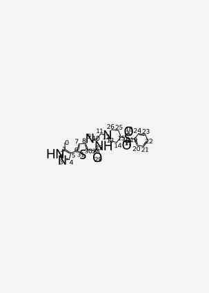 Cc1[nH]ncc1-c1cc2nc(CN3CCC(S(=O)(=O)c4ccccc4)CC3)[nH]c(=O)c2s1